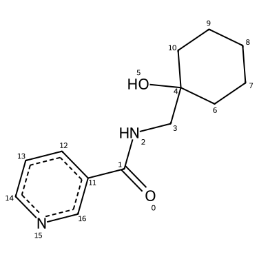 O=C(NCC1(O)CCCCC1)c1cccnc1